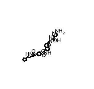 Nc1ccc(C(O)CNCC2CCc3cc(NS(=O)(=O)c4ccc(-n5cc(CCC6CCCC6)[nH]c5=O)cc4)ccc3O2)cn1